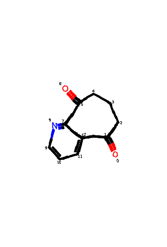 O=C1CCCC(=O)c2ncccc21